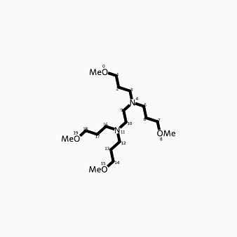 COCCCN(CCCOC)CCN(CCCOC)CCCOC